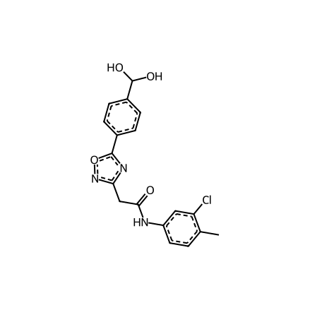 Cc1ccc(NC(=O)Cc2noc(-c3ccc(C(O)O)cc3)n2)cc1Cl